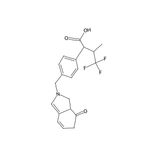 CC(C(C(=O)O)c1ccc(CN2C=C3C=CCC(=O)C3C2)cc1)C(F)(F)F